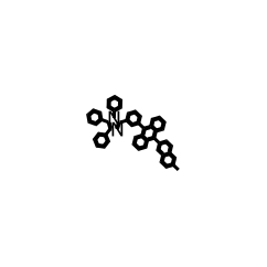 Cc1ccc2cc(-c3c4ccccc4c(-c4cccc(-c5nc(-c6ccccc6)c(-c6ccccc6)n5-c5ccccc5)c4)c4ccccc34)ccc2c1